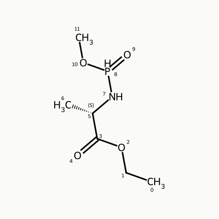 CCOC(=O)[C@H](C)N[PH](=O)OC